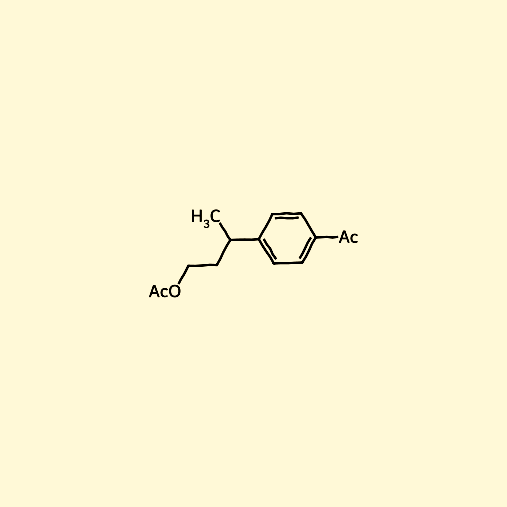 CC(=O)OCCC(C)c1ccc(C(C)=O)cc1